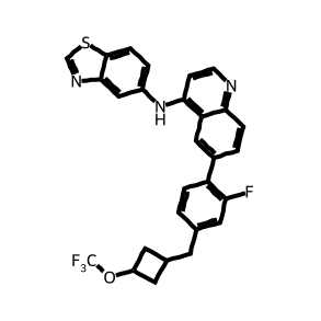 Fc1cc(CC2CC(OC(F)(F)F)C2)ccc1-c1ccc2nccc(Nc3ccc4scnc4c3)c2c1